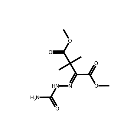 COC(=O)C(=NNC(N)=O)C(C)(C)C(=O)OC